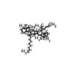 CCCCCCCCCC[N+]1=C(/C=C2/C(=O)C(/C=C3\N(CC(CC)CCCC)c4sccc4C3(C)C)=C2O)C(C)(C)c2ccccc21